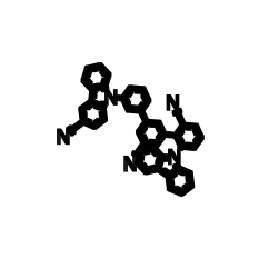 N#Cc1cc(-c2cccc(-n3c4ccccc4c4cc(C#N)ccc43)c2)cc(-c2c(C#N)cccc2-n2c3ccccc3c3ccccc32)c1